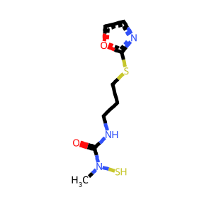 CN(S)C(=O)NCCCSc1ncco1